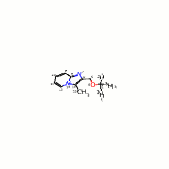 [2H]C([2H])([2H])OCc1nc2ccccn2c1C